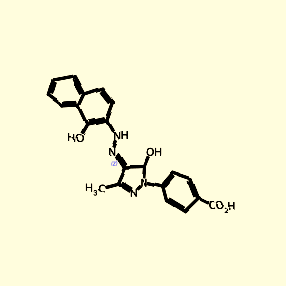 CC1=NN(c2ccc(C(=O)O)cc2)C(O)/C1=N\Nc1ccc2ccccc2c1O